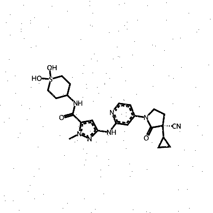 Cn1nc(Nc2cc(N3CC[C@@](C#N)(C4CC4)C3=O)ccn2)cc1C(=O)NC1CCS(O)(O)CC1